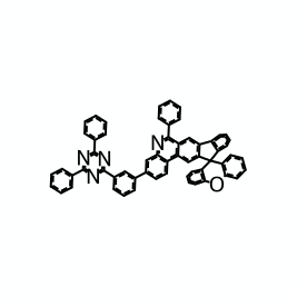 c1ccc(-c2nc(-c3ccccc3)nc(-c3cccc(-c4ccc5c(c4)nc(-c4ccccc4)c4cc6c(cc45)C4(c5ccccc5Oc5ccccc54)c4ccccc4-6)c3)n2)cc1